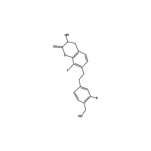 CCCC1Cc2ccc(CCc3ccc(CO)c(F)c3)c(F)c2OC1=O